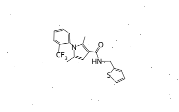 Cc1cc(C(=O)NCc2cccs2)c(C)n1-c1ccccc1C(F)(F)F